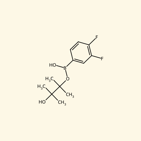 CC(C)(O)C(C)(C)OB(O)c1ccc(F)c(F)c1